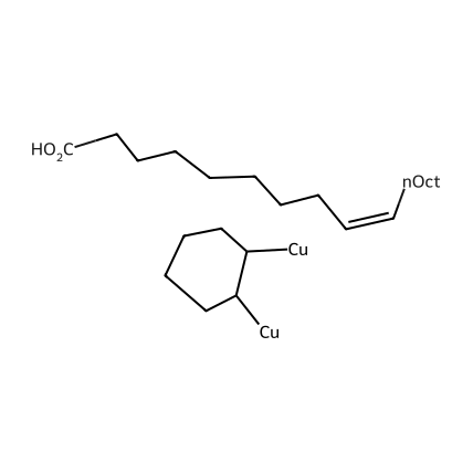 CCCCCCCC/C=C\CCCCCCCC(=O)O.[Cu][CH]1CCCC[CH]1[Cu]